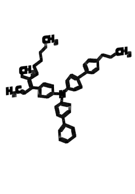 C=C/C(=C(\CC)CCCCCC)c1ccc(N(c2ccc(-c3ccccc3)cc2)c2ccc(-c3ccc(CCC)cc3)cc2)cc1